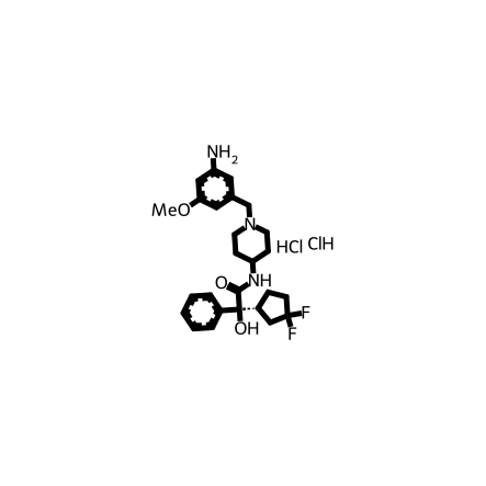 COc1cc(N)cc(CN2CCC(NC(=O)C(O)(c3ccccc3)[C@@H]3CCC(F)(F)C3)CC2)c1.Cl.Cl